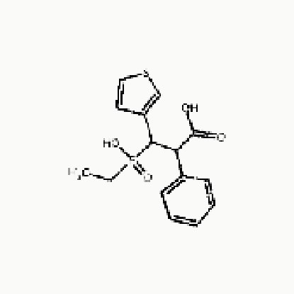 CCP(=O)(O)C(c1ccsc1)C(C(=O)O)c1ccccc1